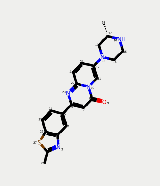 Cc1nc2cc(-c3cc(=O)n4cc(N5CCN[C@@H](C)C5)ccc4n3)ccc2s1